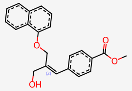 COC(=O)c1ccc(/C=C(/CO)COc2cccc3ccccc23)cc1